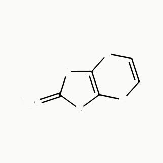 C=C1SC2=C(SC=CS2)S1